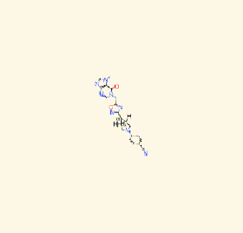 Cn1cnc2ncn(Cc3nc([C@H]4[C@@H]5CN(c6ccc(C#N)cc6)C[C@@H]54)no3)c(=O)c21